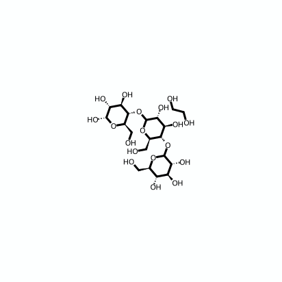 OCCO.OC[C@H]1OC(O[C@H]2[C@H](O)[C@@H](O)C(O[C@H]3[C@H](O)[C@@H](O)[C@@H](O)O[C@@H]3CO)O[C@@H]2CO)[C@H](O)[C@@H](O)[C@@H]1O